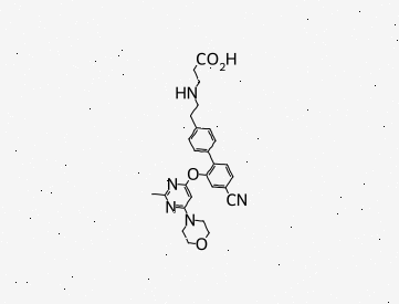 Cc1nc(Oc2cc(C#N)ccc2-c2ccc(CCNCCC(=O)O)cc2)cc(N2CCOCC2)n1